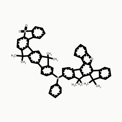 CC1(C)c2cc(N(c3ccccc3)c3ccc4c(c3)C(C)(C)c3c5c(c6oc7ccccc7c6c3-4)-c3ccccc3C5(C)C)ccc2-c2cc3c(cc21)-c1c(ccc2c1-c1ccccc1S2(=O)=O)C3(C)C